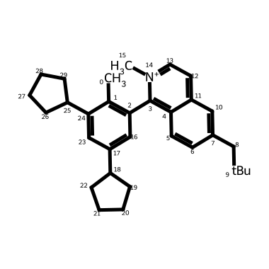 Cc1c(-c2c3ccc(CC(C)(C)C)cc3cc[n+]2C)cc(C2CCCC2)cc1C1CCCC1